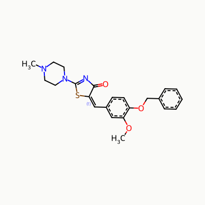 COc1cc(/C=C2/SC(N3CCN(C)CC3)=NC2=O)ccc1OCc1ccccc1